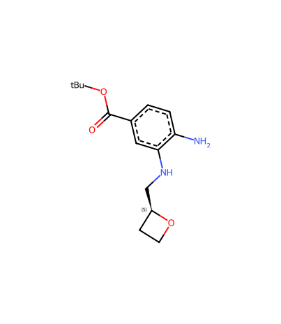 CC(C)(C)OC(=O)c1ccc(N)c(NC[C@@H]2CCO2)c1